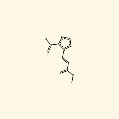 COC(=O)/C=C/n1ccnc1[N+](=O)[O-]